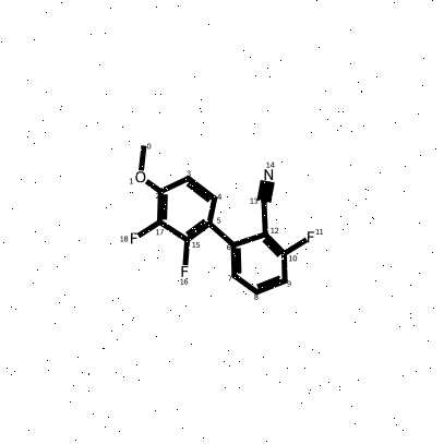 COc1ccc(-c2cccc(F)c2C#N)c(F)c1F